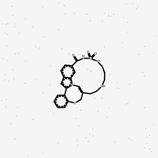 O=C1NS(=O)(=O)NCCCNCC/C2=C/n3c(cc4ccc1cc43)-c1ccccc1OC2